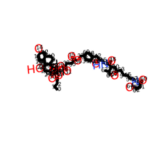 CCCC1O[C@@H]2CC3[C@@H]4CCC5=CC(=O)C=C[C@]5(C)C4[C@@H](O)C[C@]3(C)[C@]2(C(=O)COC(=O)CCC(=O)OCc2ccc(CC(=O)CNC(=O)C(CC(=O)CCCCCN3C(=O)C=CC3=O)C(C)C)cc2)O1